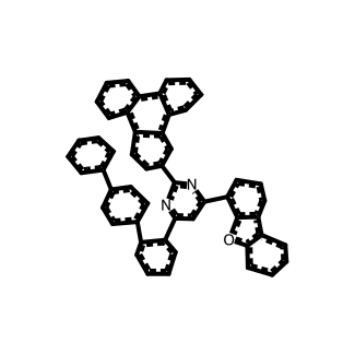 c1ccc(-c2ccc(-c3ccccc3-c3cc(-c4cccc5c4oc4ccccc45)nc(-c4ccc5c6ccccc6c6ccccc6c5c4)n3)cc2)cc1